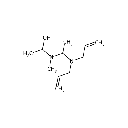 C=CCN(CC=C)C(C)N(C)C(C)O